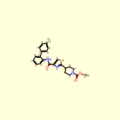 CC(C)(C)OC(=O)N1CCC(c2nc(C(=O)Nc3ccccc3-c3ccc(Cl)cc3)cs2)CC1